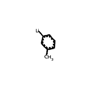 [Li][c]1cccc(C)c1